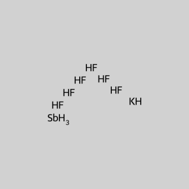 F.F.F.F.F.F.[KH].[SbH3]